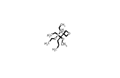 CCCC(OC)(C1(C)COC1)[Si](CC)(OCC)OCC